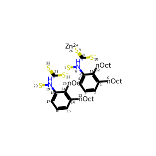 CCCCCCCCc1cccc([NH+]([S-])C(=S)[S-])c1CCCCCCCC.CCCCCCCCc1cccc([NH+]([S-])C(=S)[S-])c1CCCCCCCC.[Zn+2]